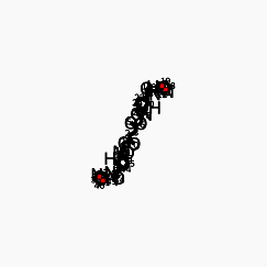 O=C(/C=C/C(=O)Oc1nc2cc(C(=O)N[C@H]3CN4CCC3CC4)ccc2o1)Oc1nc2cc(C(=O)N[C@H]3CN4CCC3CC4)ccc2o1